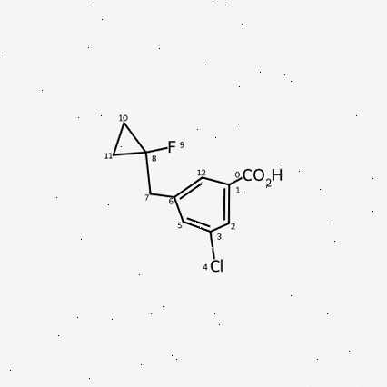 O=C(O)c1cc(Cl)cc(CC2(F)CC2)c1